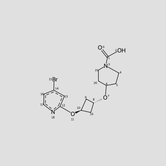 O=C(O)N1CCC(O[C@H]2C[C@H](Oc3cc(Br)ccn3)C2)CC1